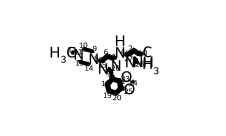 Cc1cc(Nc2cc(N3CCN(C)CC3)nc(-c3cccc4c3OCO4)n2)n[nH]1